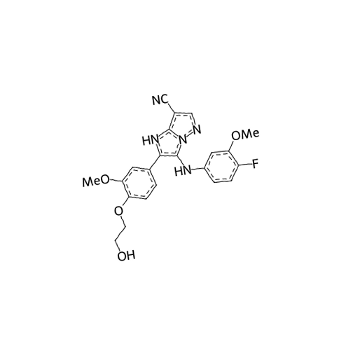 COc1cc(Nc2c(-c3ccc(OCCO)c(OC)c3)[nH]c3c(C#N)cnn23)ccc1F